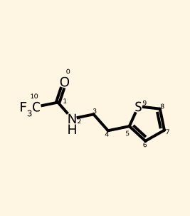 O=C(NCCc1cccs1)C(F)(F)F